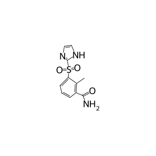 Cc1c(C(N)=O)cccc1S(=O)(=O)c1ncc[nH]1